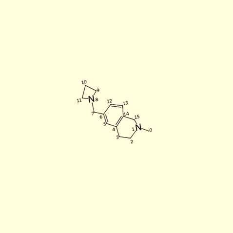 CN1CCc2cc(CN3CCC3)ccc2C1